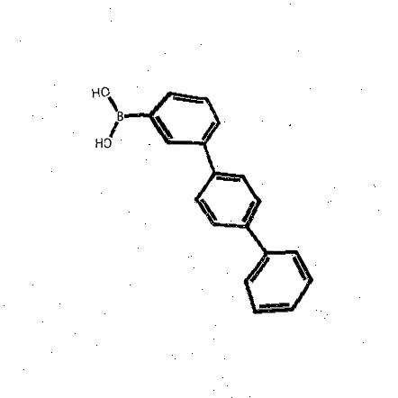 OB(O)c1cccc(-c2ccc(-c3ccccc3)cc2)c1